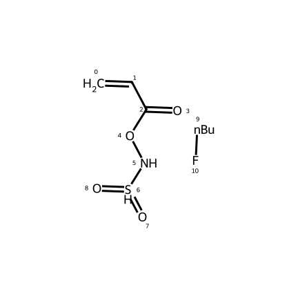 C=CC(=O)ON[SH](=O)=O.CCCCF